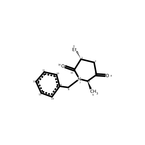 CC[C@@H]1CC(=O)[C@@H](C)N(Cc2ccccc2)C1=O